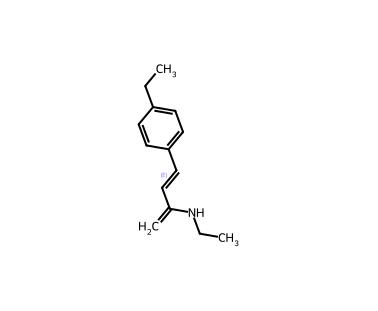 C=C(/C=C/c1ccc(CC)cc1)NCC